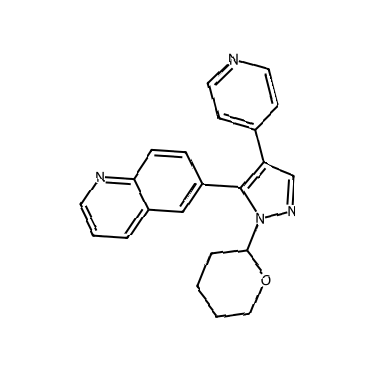 c1cnc2ccc(-c3c(-c4ccncc4)cnn3C3CCCCO3)cc2c1